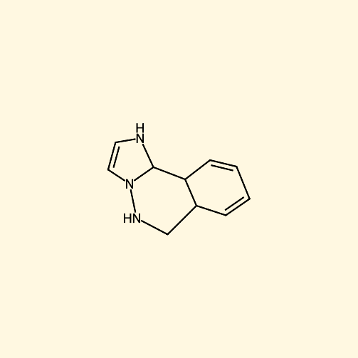 C1=CC2CNN3C=CNC3C2C=C1